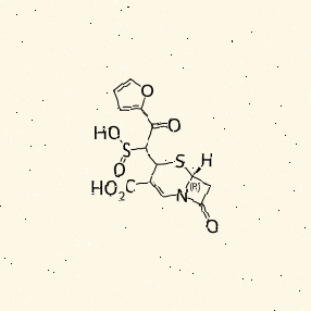 O=C(O)C1=CN2C(=O)C[C@H]2SC1C(C(=O)c1ccco1)S(=O)O